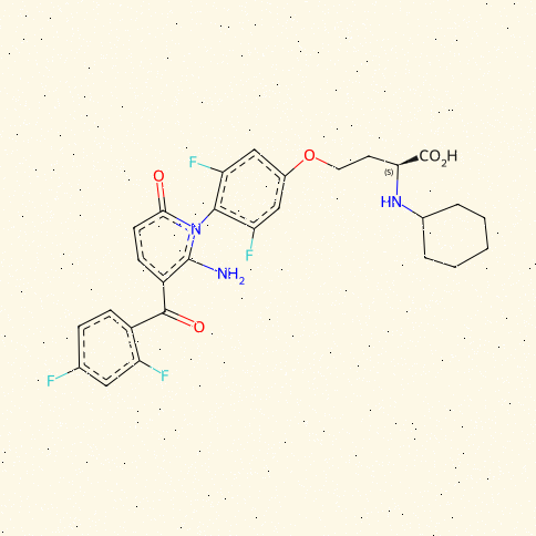 Nc1c(C(=O)c2ccc(F)cc2F)ccc(=O)n1-c1c(F)cc(OCC[C@H](NC2CCCCC2)C(=O)O)cc1F